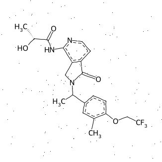 Cc1cc(C(C)N2Cc3c(ccnc3NC(=O)[C@@H](C)O)C2=O)ccc1OCC(F)(F)F